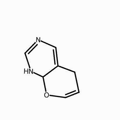 C1=COC2NC=NC=C2C1